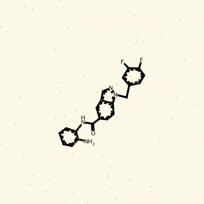 Nc1ccccc1NC(=O)c1ccc2c(cnn2Cc2ccc(F)c(F)c2)c1